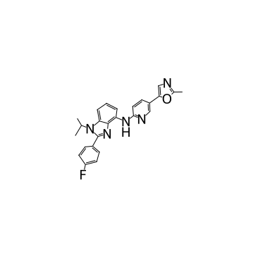 Cc1ncc(-c2ccc(Nc3cccc4c3nc(-c3ccc(F)cc3)n4C(C)C)nc2)o1